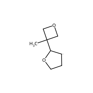 CC1(C2[CH]CCO2)COC1